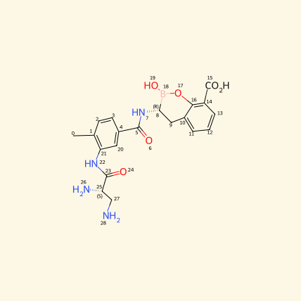 Cc1ccc(C(=O)N[C@H]2Cc3cccc(C(=O)O)c3OB2O)cc1NC(=O)[C@@H](N)CN